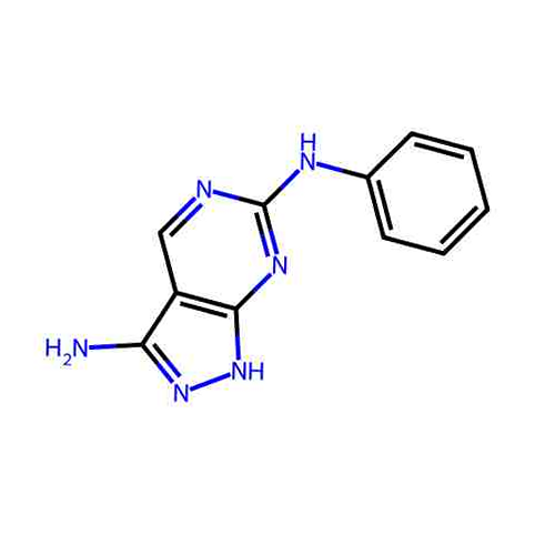 Nc1n[nH]c2nc(Nc3ccccc3)ncc12